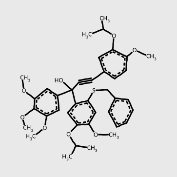 COc1ccc(C#CC(O)(c2cc(OC)c(OC)c(OC)c2)c2cc(OC(C)C)c(OC)cc2SCc2ccccc2)cc1OC(C)C